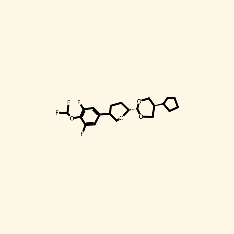 Fc1cc(C2CCC([C@H]3OC[C@H](C4CCCC4)CO3)CC2)cc(F)c1OC(F)F